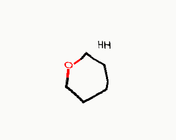 C1CCOCC1.[HH]